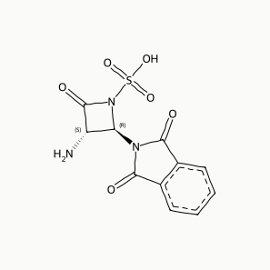 N[C@@H]1C(=O)N(S(=O)(=O)O)[C@H]1N1C(=O)c2ccccc2C1=O